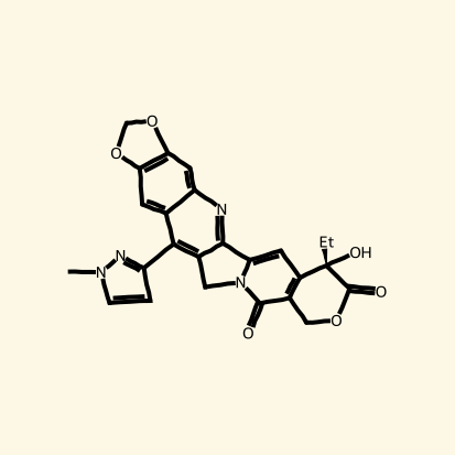 CC[C@@]1(O)C(=O)OCc2c1cc1n(c2=O)Cc2c-1nc1cc3c(cc1c2-c1ccn(C)n1)OCO3